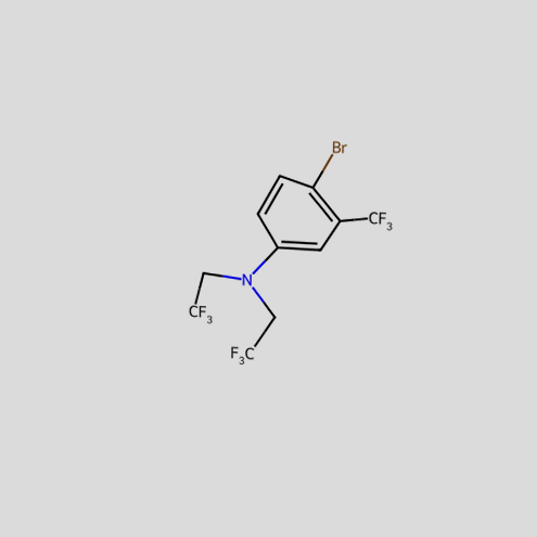 FC(F)(F)CN(CC(F)(F)F)c1ccc(Br)c(C(F)(F)F)c1